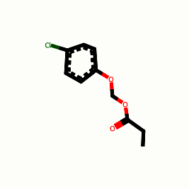 CCC(=O)OCOc1ccc(Cl)cc1